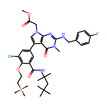 COC(=O)Cn1cc(-c2cc(Cl)c(OCCS(C)(C)C)c(C(=O)NC(C)(C)CC(C)(C)C)c2)c2c(=O)n(C)c(NCc3ccc(F)cc3)nc21